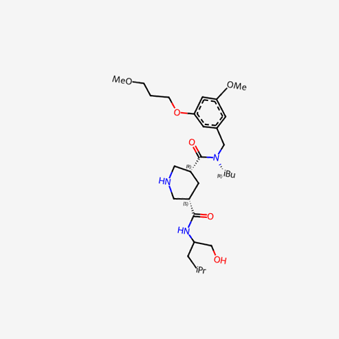 CC[C@@H](C)N(Cc1cc(OC)cc(OCCCOC)c1)C(=O)[C@H]1CNC[C@@H](C(=O)NC(CO)CC(C)C)C1